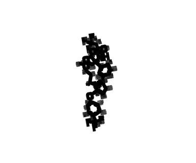 COCCCN1C(Oc2ccc(C(F)(F)F)cc2)=CCN1c1cccc(C2(NS(=O)(=O)CC(F)(F)F)COC2)c1